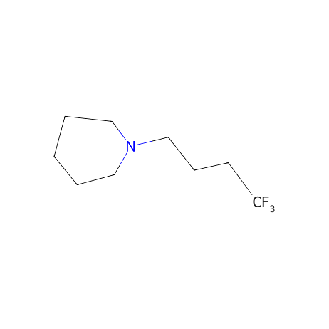 FC(F)(F)CCCN1CCCCC1